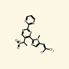 CC(c1cnc(-c2ncccn2)nc1-c1ncc(/C=C(\Cl)C(F)(F)F)n1C)[SH](=O)=O